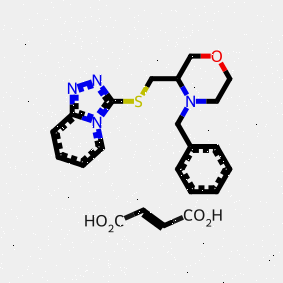 O=C(O)C=CC(=O)O.c1ccc(CN2CCOCC2CSc2nnc3ccccn23)cc1